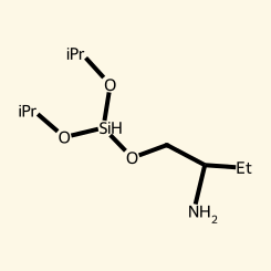 CCC(N)CO[SiH](OC(C)C)OC(C)C